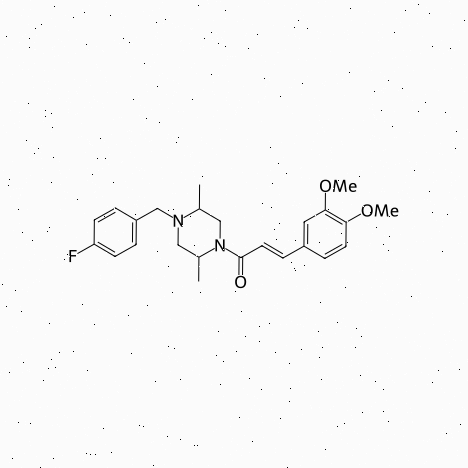 COc1ccc(C=CC(=O)N2CC(C)N(Cc3ccc(F)cc3)CC2C)cc1OC